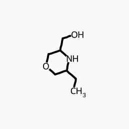 CCC1COCC(CO)N1